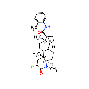 CN1C(=O)C(F)=C[C@]2(C)C3CC[C@]4(C)[C@@H](C(=O)Nc5ccccc5C(F)(F)F)CC[C@H]4C3CC[C@@H]12